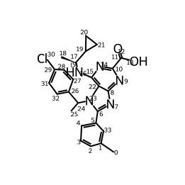 Cc1cccc(-c2nc3nc(C(=O)O)nc(N[C@@H](C)C4CC4)c3n2C(C)c2ccc(Cl)cc2)c1